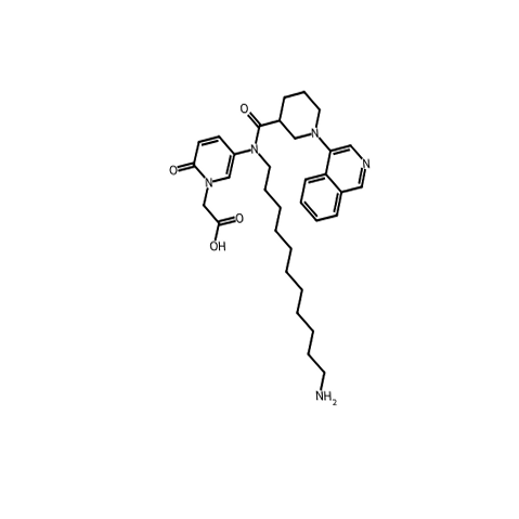 NCCCCCCCCCCCN(C(=O)C1CCCN(c2cncc3ccccc23)C1)c1ccc(=O)n(CC(=O)O)c1